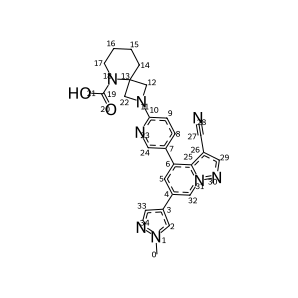 Cn1cc(-c2cc(-c3ccc(N4CC5(CCCCN5C(=O)O)C4)nc3)c3c(C#N)cnn3c2)cn1